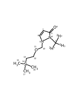 [2H]C([2H])([2H])n1c(=O)ccn1COCC[Si](C)(C)C